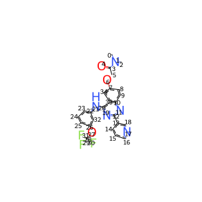 CN(C)C(=O)COc1ccc2nc(-c3cccnc3)nc(Nc3cccc(OC(F)(F)F)c3)c2c1